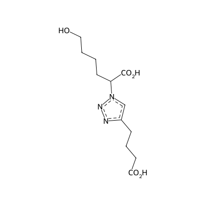 O=C(O)CCCc1cn(C(CCCCO)C(=O)O)nn1